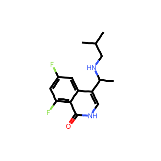 CC(C)CNC(C)c1c[nH]c(=O)c2c(F)cc(F)cc12